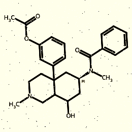 CC(=O)Oc1cccc(C23CCN(C)CC2C(O)C[C@H](N(C)C(=O)c2ccccc2)C3)c1